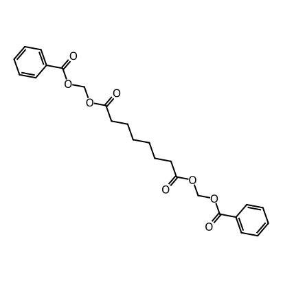 O=C(CCCCCCC(=O)OCOC(=O)c1ccccc1)OCOC(=O)c1ccccc1